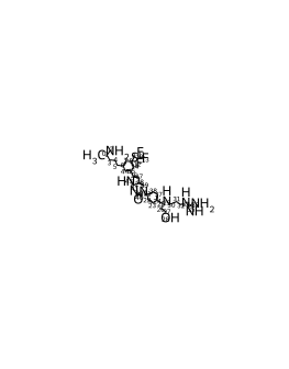 C[C@H](N)CCCc1cc(SC(F)(F)F)cc(-c2cc3cn(-c4ccc([C@H](CCO)NCCCNC(=N)N)cc4)c(=O)nc3[nH]2)c1